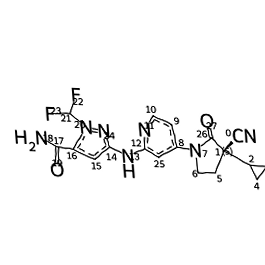 N#C[C@@]1(C2CC2)CCN(c2ccnc(Nc3cc(C(N)=O)n(C(F)F)n3)c2)C1=O